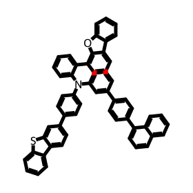 c1cc(-c2ccc(-c3cccc4ccccc34)cc2)cc(N(c2ccc(-c3ccc4c(c3)sc3ccccc34)cc2)c2ccccc2-c2cccc3c2oc2ccccc23)c1